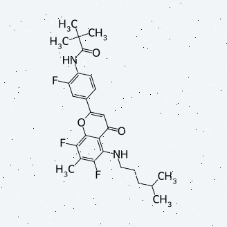 Cc1c(F)c(NCCCC(C)C)c2c(=O)cc(-c3ccc(NC(=O)C(C)(C)C)c(F)c3)oc2c1F